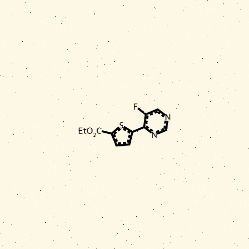 CCOC(=O)c1ccc(-c2ncncc2F)s1